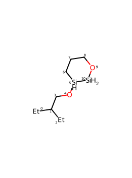 CCC(CC)CO[SiH]1CCCO[SiH2]1